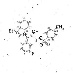 CCc1cn(C(c2cccc(F)c2)C(O)COS(=O)(=O)c2ccc(C)cc2)c2ccccc12